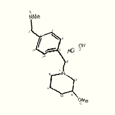 CNCc1ccc(CN2CCCC(OC)C2)cc1.Cl.Cl